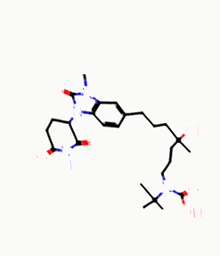 Cn1c(=O)n(C2CCC(=O)NC2=O)c2ccc(CCCC(C)(O)CCCN(C(=O)O)C(C)(C)C)cc21